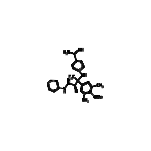 COc1c(C)cc(C(Nc2ccc(C(=N)N)cc2)(C(=O)NNc2ccccc2)C(F)(F)F)cc1C